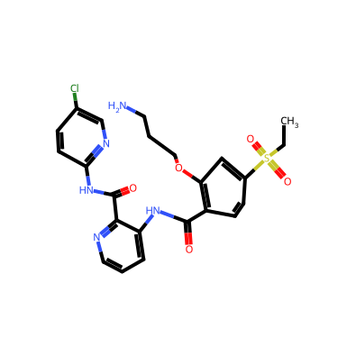 CCS(=O)(=O)c1ccc(C(=O)Nc2cccnc2C(=O)Nc2ccc(Cl)cn2)c(OCCCN)c1